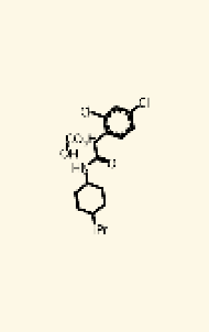 CC(C)C1CCC(NC(=O)Cc2ccc(Cl)cc2Cl)CC1.O=C(O)O